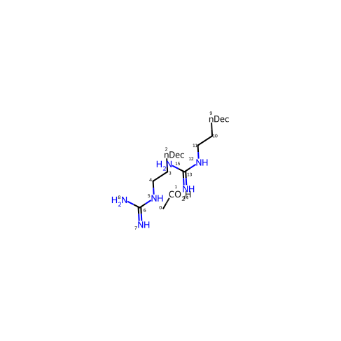 CC(=O)O.CCCCCCCCCCCCNC(=N)N.CCCCCCCCCCCCNC(=N)N